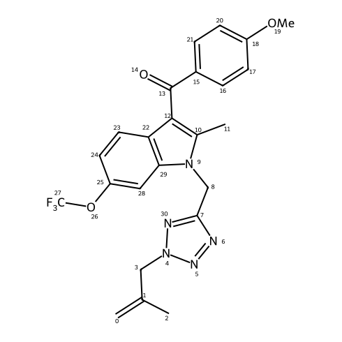 C=C(C)Cn1nnc(Cn2c(C)c(C(=O)c3ccc(OC)cc3)c3ccc(OC(F)(F)F)cc32)n1